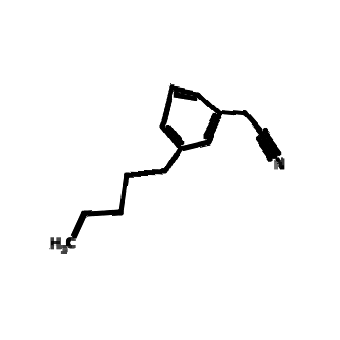 CCCCCc1cccc(CC#N)c1